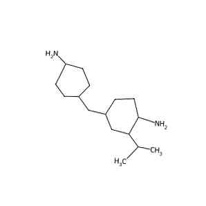 CC(C)C1CC(CC2CCC(N)CC2)CCC1N